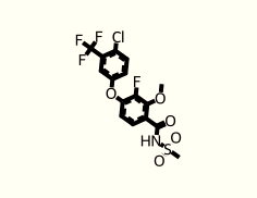 COc1c(C(=O)NS(C)(=O)=O)ccc(Oc2ccc(Cl)c(C(F)(F)F)c2)c1F